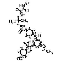 CC(C)(CNC(=O)C(=O)NO)CNC(=O)c1ccc(Nc2nc(NC3(c4ccc(Cl)cc4)CC3)nc(OCC(F)(F)F)n2)cc1